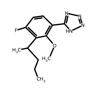 CCCC(C)c1c(F)ccc(-c2nnn[nH]2)c1OC